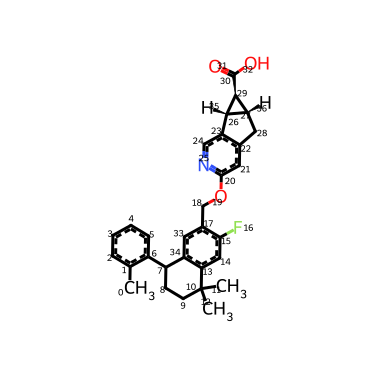 Cc1ccccc1C1CCC(C)(C)c2cc(F)c(COc3cc4c(cn3)[C@H]3[C@@H](C4)[C@@H]3C(=O)O)cc21